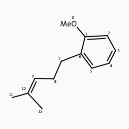 COc1ccccc1CCC=C(C)C